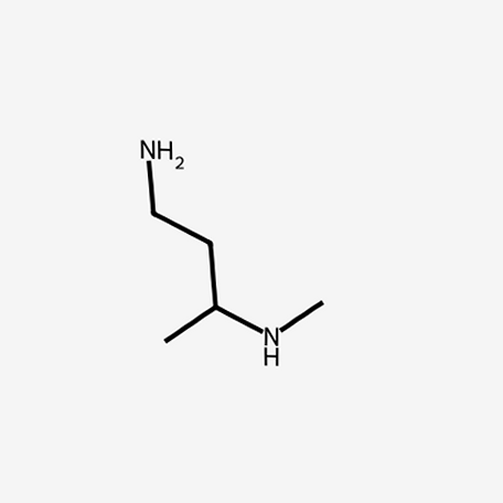 CNC(C)CCN